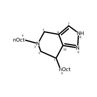 CCCCCCCCC1CN(CCCCCCCC)Cc2c[nH]nc21